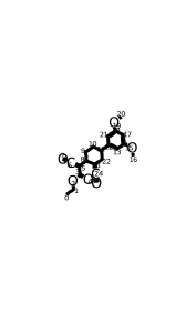 CCOC(=O)C(=C=O)C1CCC(c2cc(OC)cc(OC)c2)CC1=C=O